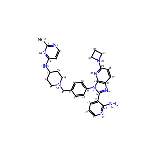 N#Cc1nccc(NC2CCN(Cc3ccc(-n4c(-c5cccnc5N)nc5ccc(N6CCC6)nc54)cc3)CC2)n1